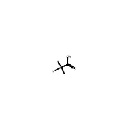 CC(C)([S])C(=O)O